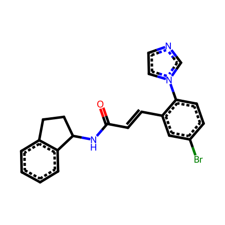 O=C(C=Cc1cc(Br)ccc1-n1ccnc1)NC1CCc2ccccc21